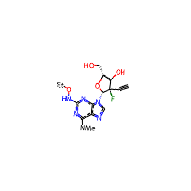 C#C[C@@]1(F)[C@H](O)[C@@H](CO)O[C@H]1n1cnc2c(NC)nc(NOCC)nc21